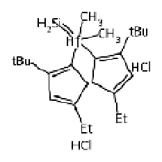 CCC1=CC(C(C)(C)C)=[C]([Hf]([CH3])([CH3])(=[SiH2])[C]2=C(C(C)(C)C)C=C(CC)C2)C1.Cl.Cl